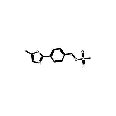 Cc1cnc(-c2ccc(COS(C)(=O)=O)cc2)s1